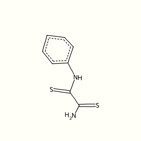 NC(=S)C(=S)Nc1ccccc1